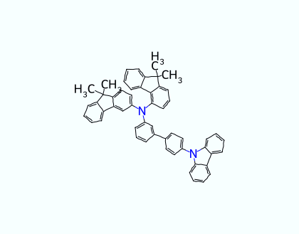 CC1(C)c2ccccc2-c2cc(N(c3cccc(-c4ccc(-n5c6ccccc6c6ccccc65)cc4)c3)c3cccc4c3-c3ccccc3C4(C)C)ccc21